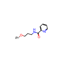 CC(C)OCCCNC(=O)c1ccccn1